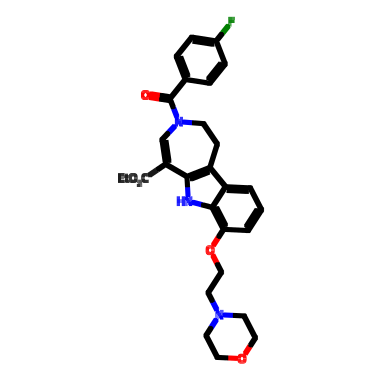 CCOC(=O)C1=CN(C(=O)c2ccc(F)cc2)CCc2c1[nH]c1c(OCCN3CCOCC3)cccc21